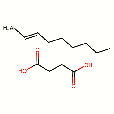 CCCCCCC=[CH][AlH2].O=C(O)CCC(=O)O